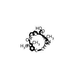 Cc1c2n(C)c3ccc(cc13)C/C=C\CCCn1nnc3c(C)c(cnc31)[C@@H](CC(=O)O)c1ccc3c(c1)CN(CC3)C2=O